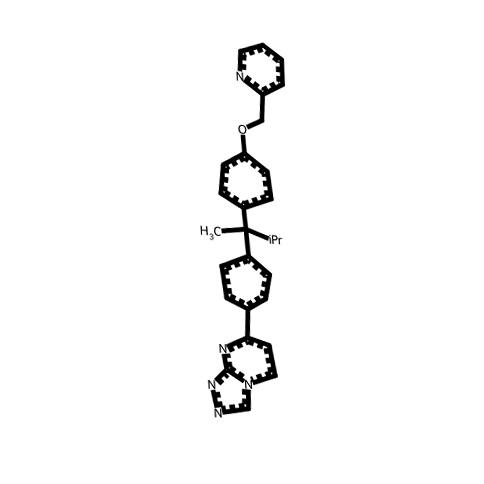 CC(C)C(C)(c1ccc(OCc2ccccn2)cc1)c1ccc(-c2ccn3cnnc3n2)cc1